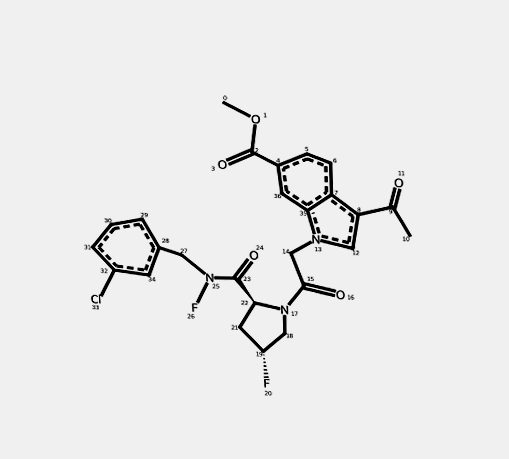 COC(=O)c1ccc2c(C(C)=O)cn(CC(=O)N3C[C@H](F)C[C@H]3C(=O)N(F)Cc3cccc(Cl)c3)c2c1